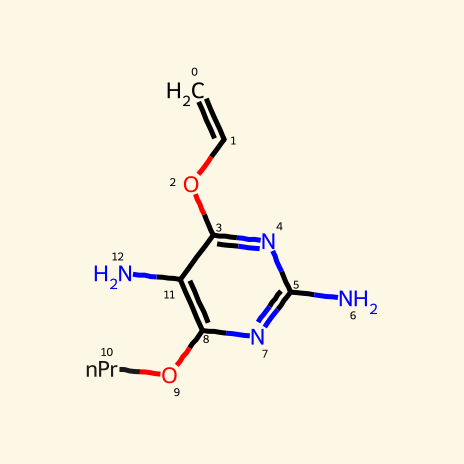 C=COc1nc(N)nc(OCCC)c1N